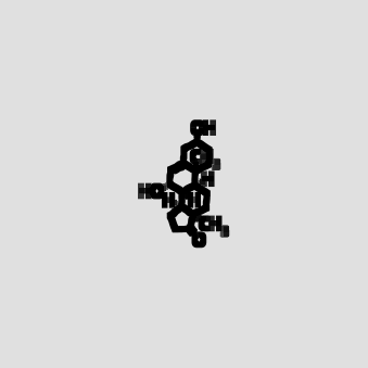 C[C@]12CC[C@H](O)CC1=C[C@@H](O)[C@@H]1[C@@H]2CC[C@]2(C)C(=O)CC[C@@H]12